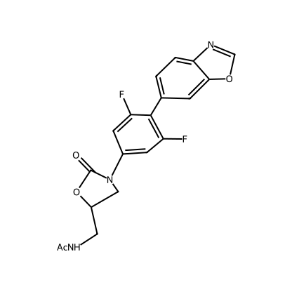 CC(=O)NCC1CN(c2cc(F)c(-c3ccc4ncoc4c3)c(F)c2)C(=O)O1